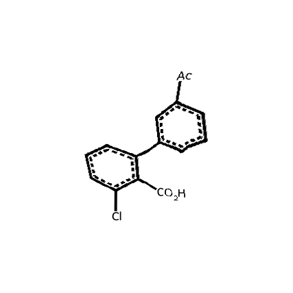 CC(=O)c1cccc(-c2cccc(Cl)c2C(=O)O)c1